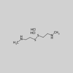 CNCCSSCCNC.Cl.Cl